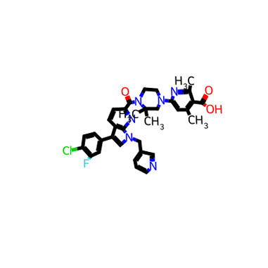 Cc1cc(N2CCN(C(=O)c3ccc4c(-c5ccc(Cl)c(F)c5)cn(Cc5cccnc5)c4n3)C(C)(C)C2)nc(C)c1C(=O)O